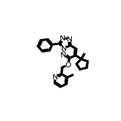 Cc1cccnc1COc1nn2c(-c3ccccc3)nnc2cc1C1(C)CCCC1